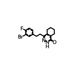 O=c1[nH]nc(CCc2ccc(F)c(Br)c2)c2c1CCCC2